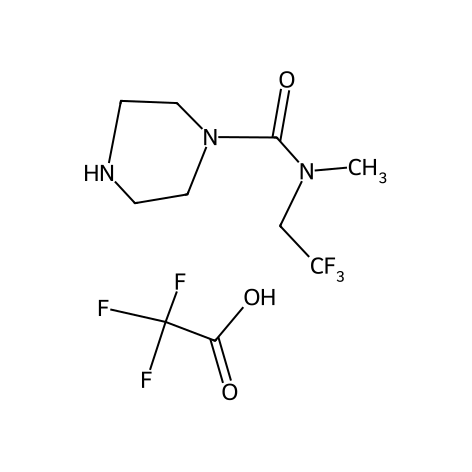 CN(CC(F)(F)F)C(=O)N1CCNCC1.O=C(O)C(F)(F)F